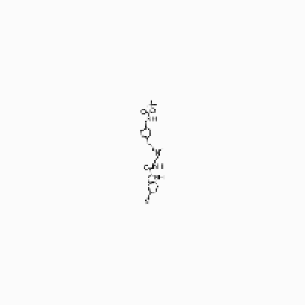 CN(CCCc1ccc(CNC(=O)OC(C)(C)C)cc1)CCNC(=O)c1cc2cc(C#N)ccc2[nH]1